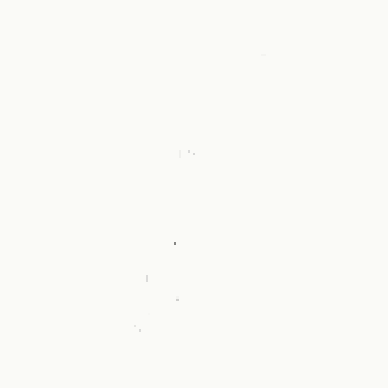 C=C(NC(=O)c1csc(-c2ccc(NC(=O)CCCCCBr)cc2)n1)C(N)=O